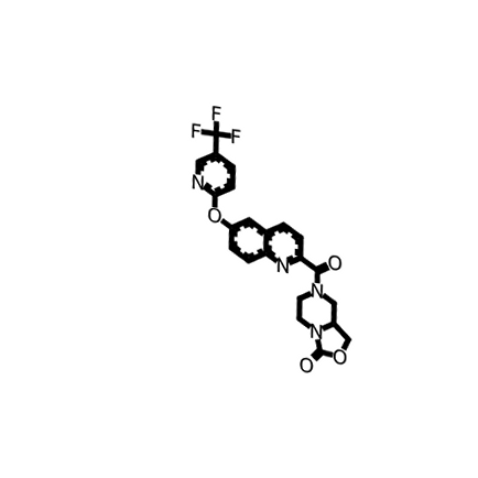 O=C(c1ccc2cc(Oc3ccc(C(F)(F)F)cn3)ccc2n1)N1CCN2C(=O)OCC2C1